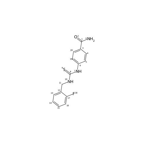 NC(=O)c1ccc(NC(=S)NCc2ccccc2F)cc1